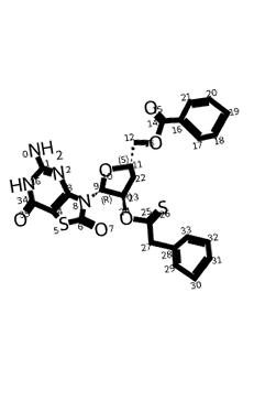 Nc1nc2c(sc(=O)n2[C@@H]2O[C@H](COC(=O)c3ccccc3)C[C@H]2OC(=S)Cc2ccccc2)c(=O)[nH]1